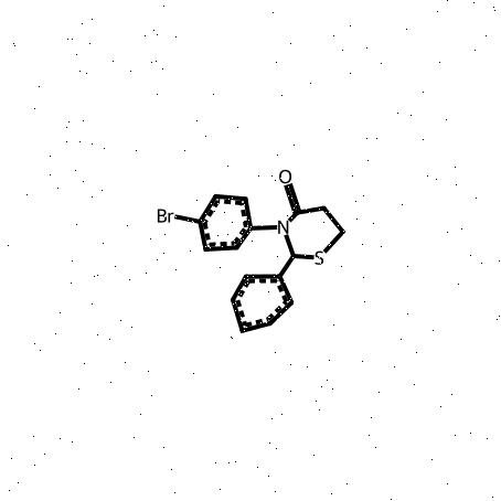 O=C1CCSC(c2ccccc2)N1c1ccc(Br)cc1